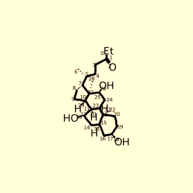 CCC(=O)CC[C@@H](C)[C@H]1CC[C@H]2[C@@H]3[C@H](O)C[C@@H]4C[C@H](O)CC[C@]4(C)[C@H]3C[C@H](O)[C@]12C